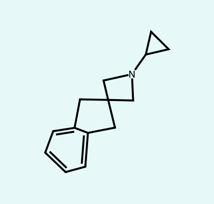 c1ccc2c(c1)CC1(C2)CN(C2CC2)C1